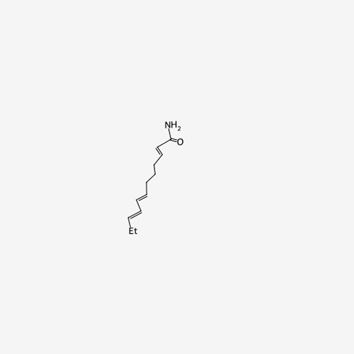 CCC=CC=CCCCC=CC(N)=O